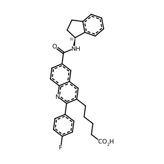 O=C(O)CCCCc1cc2cc(C(=O)N[C@H]3CCc4ccccc43)ccc2nc1-c1ccc(F)cc1